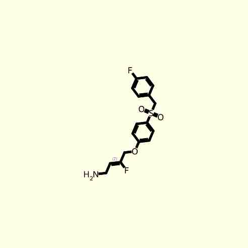 NC/C=C(\F)COc1ccc(S(=O)(=O)Cc2ccc(F)cc2)cc1